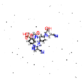 CC(=O)Nc1cc(N(CCO)CCC#N)ccc1/N=N/c1c(C#N)cnn1-c1ccc(S(=O)(=O)O)cc1